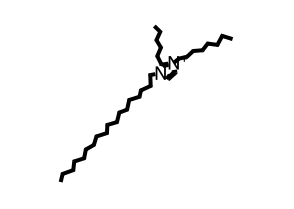 CCCCCCCCCCCCCCCCCCn1cc[n+](CCCCCCCC)c1CCCCC